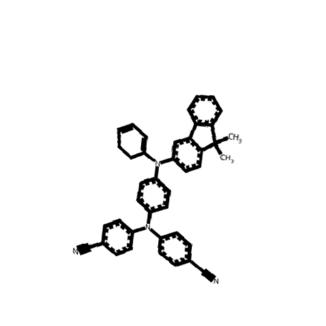 CC1(C)c2ccccc2-c2cc(N(C3=CC=CCC3)c3ccc(N(c4ccc(C#N)cc4)c4ccc(C#N)cc4)cc3)ccc21